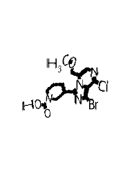 COCc1cnc(Cl)c2c(Br)nc(C3CCCN(C(=O)O)C3)n12